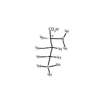 [2H]N([2H])[C@]([2H])(C(=O)O)C([2H])([2H])C([2H])([2H])S([2H])([2H])[2H]